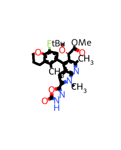 COC(=O)[C@@H](OC(C)(C)C)c1c(C)nc2c(cc(-c3n[nH]c(=O)o3)n2C)c1-c1cc(F)c2c(c1C)CCCO2